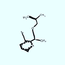 C=C(C)CO[C@@H](C)c1ncccc1Br